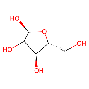 OC[C@H]1O[C@H](O)C(O)[C@@H]1O